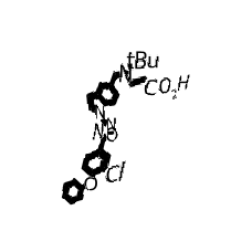 CC(C)(C)N(CCC(=O)O)Cc1ccc2c(ccn2-c2noc(-c3ccc(Oc4ccccc4)c(Cl)c3)n2)c1